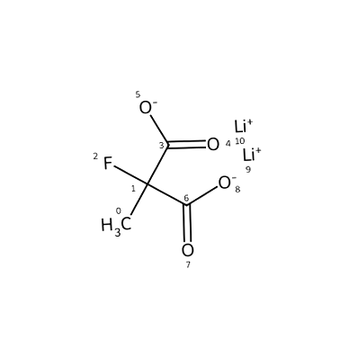 CC(F)(C(=O)[O-])C(=O)[O-].[Li+].[Li+]